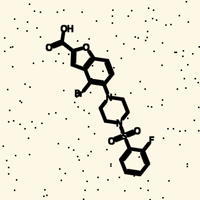 O=C(O)c1cc2c(Br)c(N3CCN(S(=O)(=O)c4ccccc4F)CC3)ccc2o1